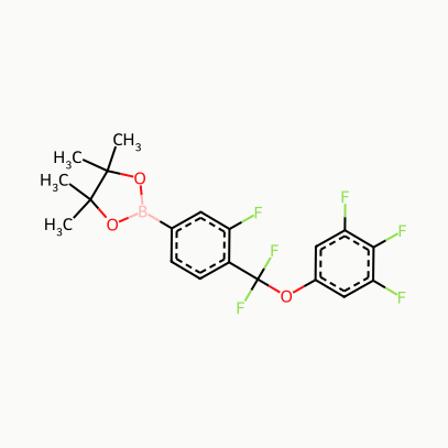 CC1(C)OB(c2ccc(C(F)(F)Oc3cc(F)c(F)c(F)c3)c(F)c2)OC1(C)C